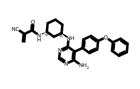 C=C(C#N)C(=O)N[C@@H]1CCC[C@@H](Nc2ncnc(N)c2-c2ccc(Oc3ccccc3)cc2)C1